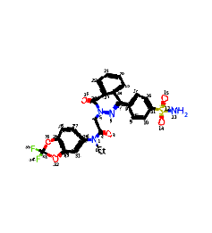 CCN(C(=O)Cn1nc(-c2ccc(S(N)(=O)=O)cc2)c2ccccc2c1=O)c1ccc2c(c1)OC(F)(F)O2